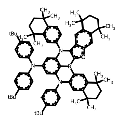 CC(C)(C)c1ccc(N(c2ccc(C(C)(C)C)cc2)c2cc3c4c(c2)N(c2ccc5c(c2)C(C)(C)CCC5(C)C)c2c(oc5cc6c(cc25)C(C)(C)CCC6(C)C)B4c2cc4c(cc2N3c2ccc(C(C)(C)C)cc2)C(C)(C)CCC4(C)C)cc1